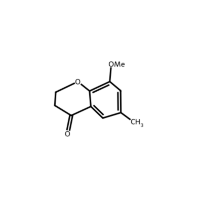 COc1cc(C)cc2c1OCCC2=O